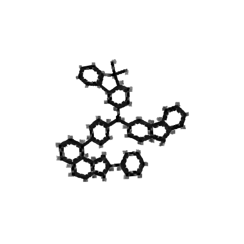 CC1(C)c2ccccc2-c2cc(N(c3ccc(-c4cccc5ccc6nc(-c7ccccc7)oc6c45)cc3)c3ccc4sc5ccccc5c4c3)ccc21